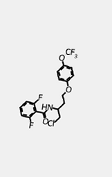 O=C(NC(CCl)CCOc1ccc(OC(F)(F)F)cc1)c1c(F)cccc1F